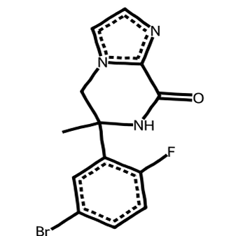 CC1(c2cc(Br)ccc2F)Cn2ccnc2C(=O)N1